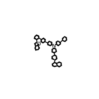 c1ccc(-c2ccc(N(c3ccc(-c4ccc(-c5ccccc5-c5cc6ccccc6o5)cc4)cc3)c3ccc(-c4ccc(-c5cccc6ccccc56)cc4)cc3)cc2)cc1